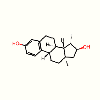 C[C@H]1[C@H]2[C@@H]3CCc4cc(O)ccc4[C@H]3CC[C@]2(C)C[C@@H]1O